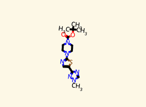 Cn1cnc(-c2cnc(N3CCN(C(=O)OC(C)(C)C)CC3)s2)n1